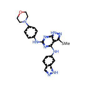 CSc1n[nH]c2nc(Nc3ccc(N4CCOCC4)cc3)nc(Nc3ccc4cn[nH]c4c3)c12